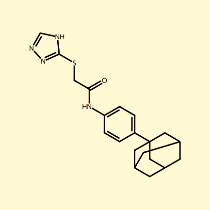 O=C(CSc1nnc[nH]1)Nc1ccc(C23CC4CC(CC(C4)C2)C3)cc1